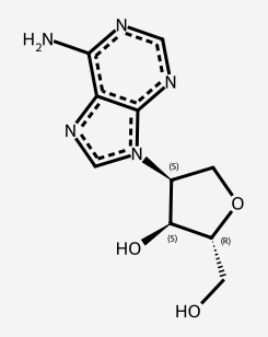 Nc1ncnc2c1ncn2[C@H]1CO[C@H](CO)[C@H]1O